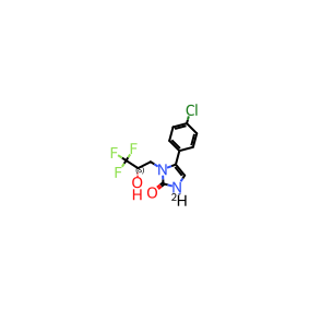 [2H]n1cc(-c2ccc(Cl)cc2)n(C[C@H](O)C(F)(F)F)c1=O